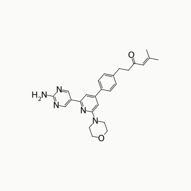 CC(C)=CC(=O)CCc1ccc(-c2cc(-c3cnc(N)nc3)nc(N3CCOCC3)c2)cc1